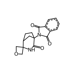 O=C1c2ccccc2C(=O)N1C12CCC(C1)C1(COC1)NC2=O